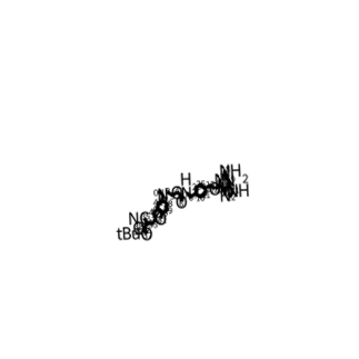 CN(CCOC(=O)NCc1ccc(COc2nc(N)nc3[nH]cnc23)cc1)c1ccc2oc(/C=C(\C#N)C(=O)OC(C)(C)C)cc2c1